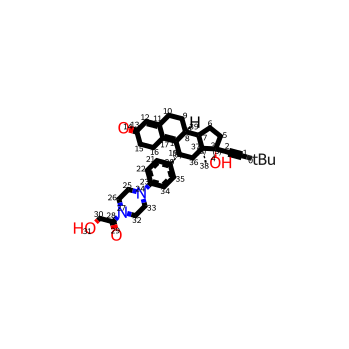 CC(C)(C)C#C[C@]1(O)CCC2[C@@H]3CCC4=CC(=O)CCC4=C3[C@@H](c3ccc(N4CCN(C(=O)CO)CC4)cc3)C[C@@]21C